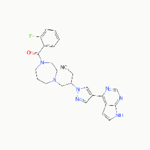 N#CCC(CN1CCCN(C(=O)c2ccccc2F)CC1)n1cc(-c2ncnc3[nH]ccc23)cn1